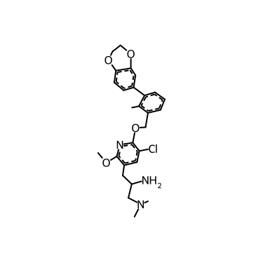 COc1nc(OCc2cccc(-c3ccc4c(c3)OCCO4)c2C)c(Cl)cc1CC(N)CN(C)C